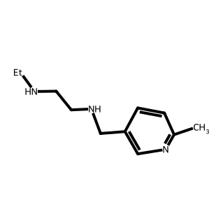 CCNCCNCc1ccc(C)nc1